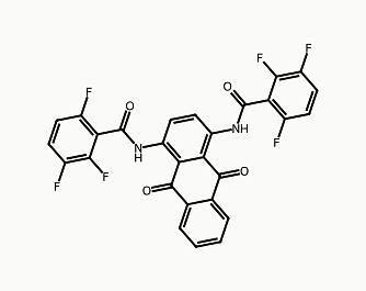 O=C(Nc1ccc(NC(=O)c2c(F)ccc(F)c2F)c2c1C(=O)c1ccccc1C2=O)c1c(F)ccc(F)c1F